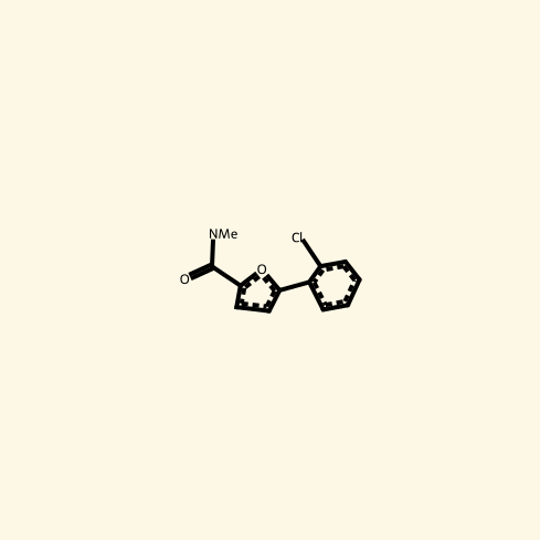 CNC(=O)c1ccc(-c2ccccc2Cl)o1